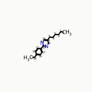 CCCCCCc1cnc(-c2ccc(CC)cc2)nc1